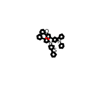 c1ccc(-c2ccc(N(c3ccc4c(c3)sc3ccccc34)c3cc4c(cc3-c3ccc5c(c3)oc3ccccc35)c3ccccc3n4-c3ccccc3)cc2)cc1